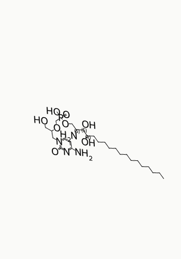 CCCCCCCCCCCCCC[C@@H](O)[C@@H](O)[C@@H](N)COP(=O)(O)COC(CO)Cn1ccc(N)nc1=O